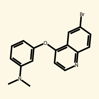 CN(C)c1cccc(Oc2ccnc3ccc(Br)cc23)c1